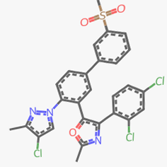 Cc1nc(-c2ccc(Cl)cc2Cl)c(-c2cc(-c3cccc(S(C)(=O)=O)c3)ccc2-n2cc(Cl)c(C)n2)o1